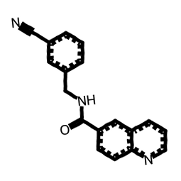 N#Cc1cccc(CNC(=O)c2ccc3ncccc3c2)c1